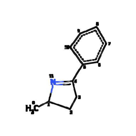 CC1CCC(c2ccccc2)=N1